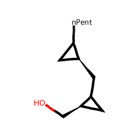 CCCCCC1C[C@@H]1CC1C[C@H]1CO